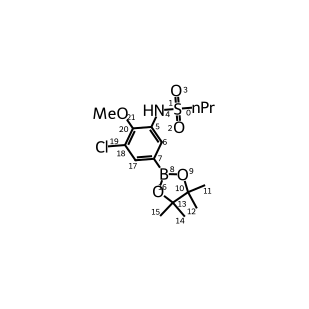 CCCS(=O)(=O)Nc1cc(B2OC(C)(C)C(C)(C)O2)cc(Cl)c1OC